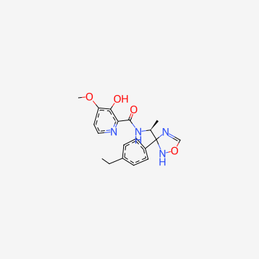 CCc1ccc(C2([C@H](C)NC(=O)c3nccc(OC)c3O)N=CON2)cc1